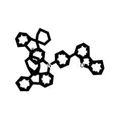 CCC1CC2CCCC(C1)C21c2ccccc2-c2cccc(N(c3ccc(-c4cccc5c4oc4ccccc45)cc3)c3ccc4c(c3)C3(CCCCC3)c3ccccc3-4)c21